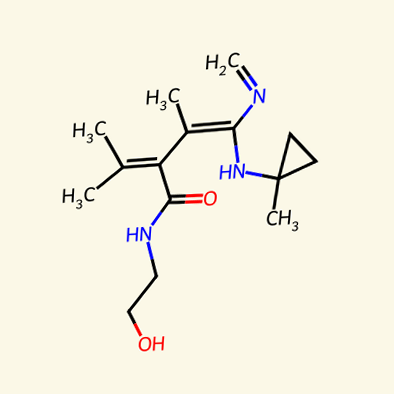 C=N/C(NC1(C)CC1)=C(\C)C(C(=O)NCCO)=C(C)C